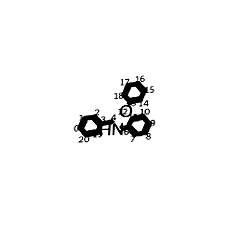 c1ccc(CNc2ccccc2Oc2ccccc2)cc1